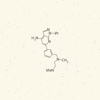 CNCCN(C)Cc1cccc(-c2cc(N)c3cnn(C(C)C)c3n2)c1